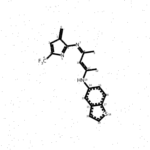 C=C1C=C(C(F)(F)F)N=C1/N=C(C)\C=C(/C)Nc1ccc2sccc2c1